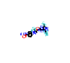 O=C(Nc1cnc2c(C(F)(F)F)cnc(C(F)(F)F)c2c1)c1cnn(-c2ccc3c4c(cccc24)C(=O)N3)c1C(F)(F)F